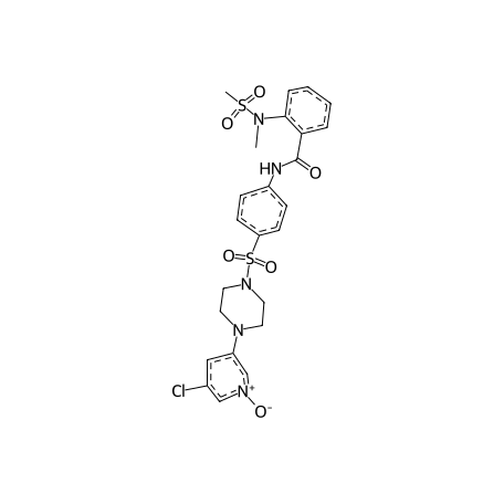 CN(c1ccccc1C(=O)Nc1ccc(S(=O)(=O)N2CCN(c3cc(Cl)c[n+]([O-])c3)CC2)cc1)S(C)(=O)=O